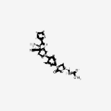 CC(=O)NC[C@H]1CN(c2ccc(N3CCC(C#N)(N(N)C(=O)c4cccs4)CC3)c(F)c2)C(=O)O1